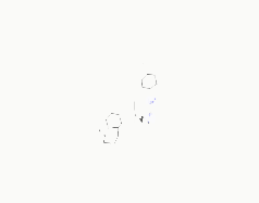 CC(/C=C/c1ccc(C(C)C)cc1)=N/NCc1cccc2ncccc12